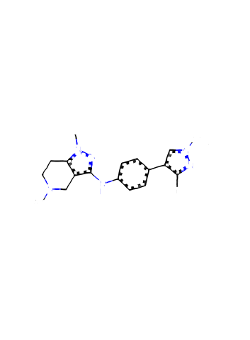 CC(=O)N1CCc2c(c(Nc3ccc(-c4cn(C(=O)O)nc4C(C)(C)C)cc3)nn2C)C1